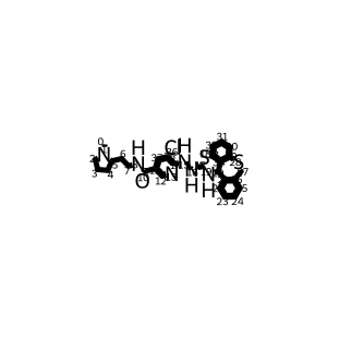 CN1CCCC1CCNC(=O)c1cnc(NNC(=S)NC2c3ccccc3CSc3ccccc32)c(Cl)c1